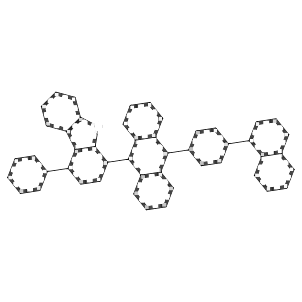 c1ccc(-c2ccc(-c3c4ccccc4c(-c4ccc(-c5cccc6ccccc56)cc4)c4ccccc34)c3oc4ccccc4c23)cc1